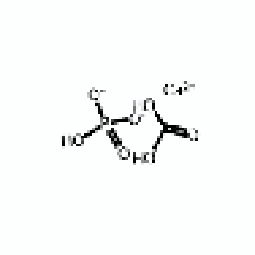 O=C(O)O.O=P([O-])([O-])O.[Ca+2]